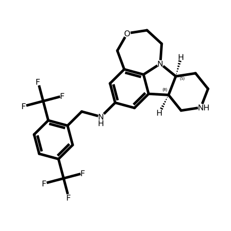 FC(F)(F)c1ccc(C(F)(F)F)c(CNc2cc3c4c(c2)[C@@H]2CNCC[C@@H]2N4CCOC3)c1